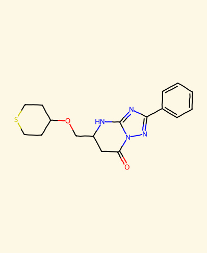 O=C1CC(COC2CCSCC2)Nc2nc(-c3ccccc3)nn21